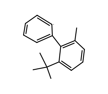 Cc1cccc(C(C)(C)C)c1-c1[c]cccc1